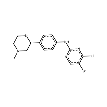 CN1CC[N]C(c2ccc(Nc3ncc(Br)c(Cl)n3)cc2)C1